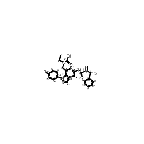 CCN(Cc1nc(NC(=O)N[C@H](C)c2ccccc2)cc2cnn(-c3ccc(F)cc3)c12)C(=O)O